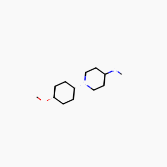 CC(C)O[C@H]1CC[C@H](N2CCC(NC(=O)O)CC2)CC1